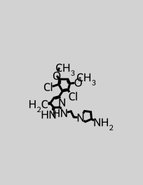 C=C1C=C(c2c(Cl)c(OC)cc(OC)c2Cl)N=C(NCCN2CCC(N)C2)C1=N